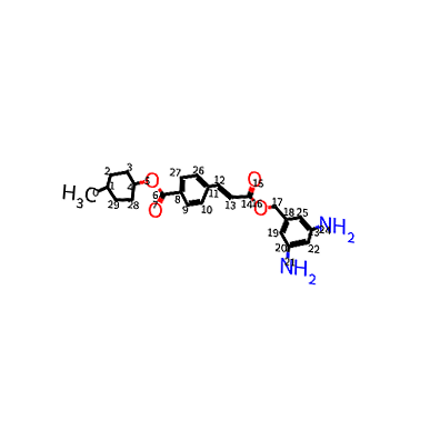 CC1CCC(OC(=O)c2ccc(/C=C/C(=O)OCc3cc(N)cc(N)c3)cc2)CC1